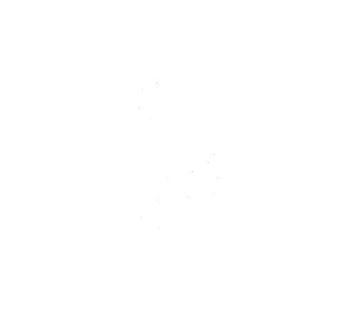 CC1CN(/C(N)=N/c2cc(C(C)c3ccc(-c4ccccc4)c(F)c3)no2)CC(C)O1